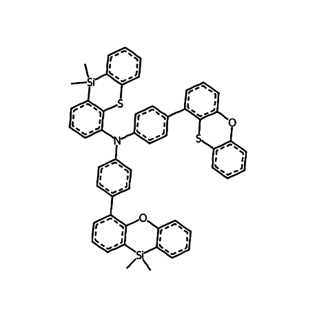 C[Si]1(C)c2ccccc2Oc2c(-c3ccc(N(c4ccc(-c5cccc6c5Sc5ccccc5O6)cc4)c4cccc5c4Sc4ccccc4[Si]5(C)C)cc3)cccc21